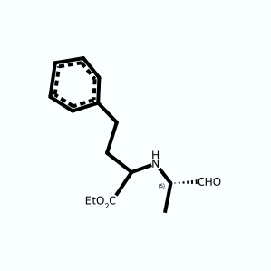 CCOC(=O)C(CCc1ccccc1)N[C@@H](C)C=O